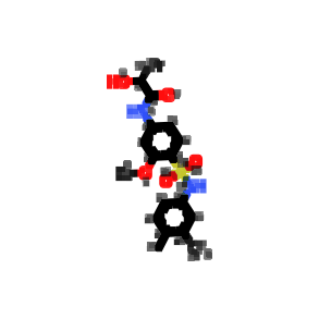 CCOc1cc(NC(=O)[C@@H](O)C(C)C)ccc1S(=O)(=O)Nc1ccc(C)c(C(F)(F)F)c1